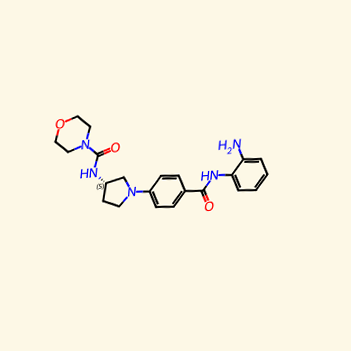 Nc1ccccc1NC(=O)c1ccc(N2CC[C@H](NC(=O)N3CCOCC3)C2)cc1